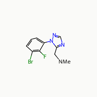 CNCc1ncnn1-c1cccc(Br)c1F